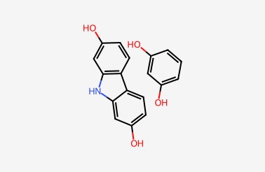 Oc1ccc2c(c1)[nH]c1cc(O)ccc12.Oc1cccc(O)c1